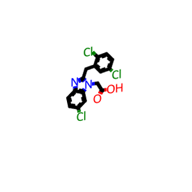 O=C(O)Cn1c(Cc2cc(Cl)ccc2Cl)nc2ccc(Cl)cc21